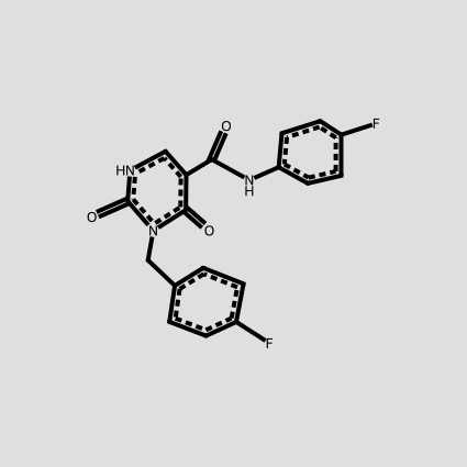 O=C(Nc1ccc(F)cc1)c1c[nH]c(=O)n(Cc2ccc(F)cc2)c1=O